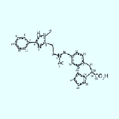 CC(=O)N(CCc1nc(-c2ccccc2)oc1C)Cc1ccc(C[C@@H](C(=O)O)n2cccc2)cc1